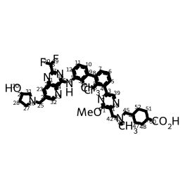 COc1nc(-c2cccc(-c3cccc(Nc4nc(C(F)F)nc5cc(CN6CC[C@@H](O)C6)cnc45)c3C)c2Cl)cnc1CN(C)CC1CCC(C(=O)O)CC1